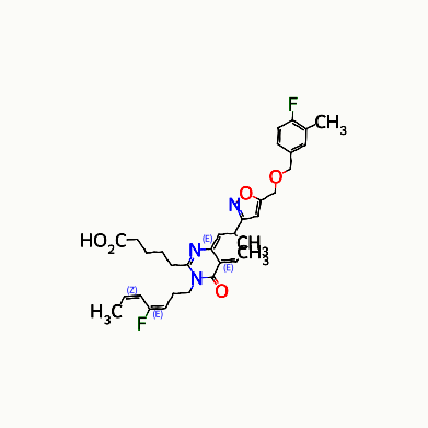 C/C=C\C(F)=C/CCn1c(CCCCC(=O)O)nc(=C/C(C)c2cc(COCc3ccc(F)c(C)c3)on2)/c(=C\C)c1=O